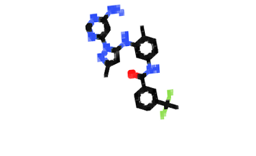 Cc1cc(Nc2cc(NC(=O)c3cccc(C(C)(F)F)c3)ccc2C)n(-c2cc(N)ncn2)n1